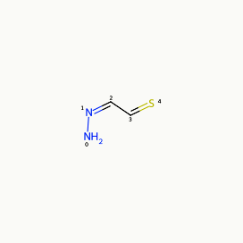 N/N=C\C=S